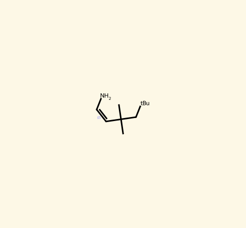 CC(C)(C)CC(C)(C)/C=C\N